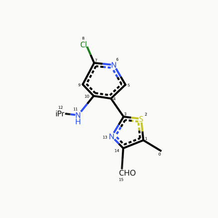 Cc1sc(-c2cnc(Cl)cc2NC(C)C)nc1C=O